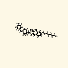 CCCCCCCCc1ccc(C=C2SC(N3CCN(Cc4ccccc4)CC3)=NC2=O)cc1